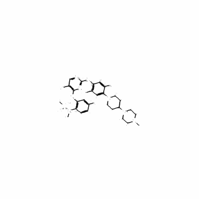 CN1CCN(C2CCN(c3cc(Cl)c(Nc4ncc(Br)c(Nc5cc(Cl)ccc5N(C)S(C)(=O)=O)n4)cc3Cl)CC2)CC1